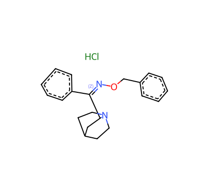 Cl.c1ccc(CO/N=C(/c2ccccc2)C2CC3CCN2CC3)cc1